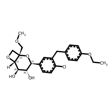 CCOc1ccc(Cc2cc([C@@H]3O[C@@]4(COC)CO[C@H]4[C@H](O)[C@H]3O)ccc2Cl)cc1